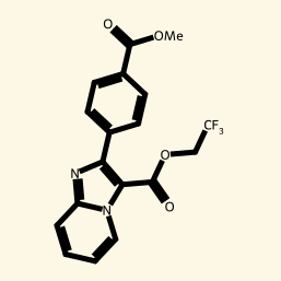 COC(=O)c1ccc(-c2nc3ccccn3c2C(=O)OCC(F)(F)F)cc1